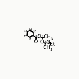 CCOC(C)OC(C)OC(=O)c1ccccc1